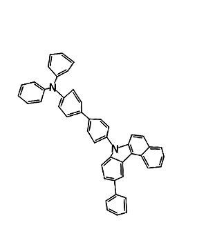 c1ccc(-c2ccc3c(c2)c2c4ccccc4ccc2n3-c2ccc(-c3ccc(N(c4ccccc4)c4ccccc4)cc3)cc2)cc1